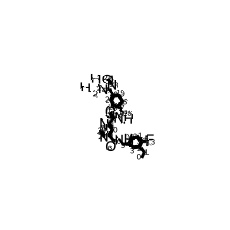 CCc1cc(CNC(=O)c2cc(C(=O)N[C@@H](C)c3ccc(/C(N)=N/O)cc3)ncn2)ccc1F